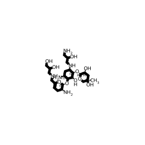 C[C@]1(O)CO[C@H](O[C@H]2[C@H](NCC(O)CN)C[C@H](N)C(O[C@H]3OC(CNCC(O)CO)=CC[C@H]3N)[C@@H]2O)[C@H](O)C1